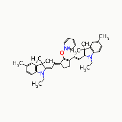 CCN1/C(=C/C=C2\CCC(/C=C/C3N(CC)c4ccc(C)cc4C3(C)C)=C2O[n+]2ccccc2)C(C)(C)c2cc(C)ccc21